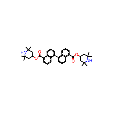 CC1(C)CC(OC(=O)c2cccc3c(-c4cccc5c(C(=O)OC6CC(C)(C)NC(C)(C)C6)cccc45)cccc23)CC(C)(C)N1